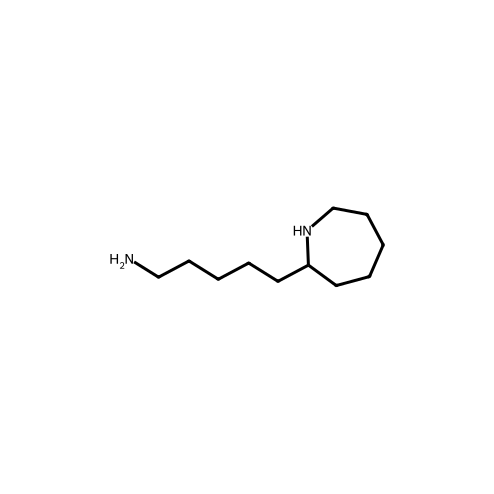 NCCCCCC1CCCCCN1